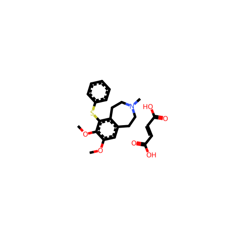 COc1cc2c(c(Sc3ccccc3)c1OC)CCN(C)CC2.O=C(O)C=CC(=O)O